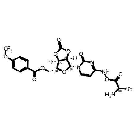 CC(C)[C@@H](N)C(=O)ONc1ccn([C@@H]2O[C@H](COC(=O)c3ccc(OC(F)(F)F)cc3)[C@H]3OC(=O)O[C@H]32)c(=O)n1